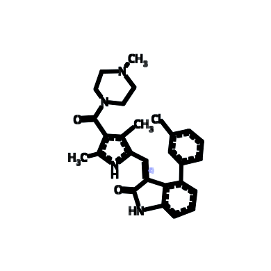 Cc1[nH]c(/C=C2\C(=O)Nc3cccc(-c4cccc(Cl)c4)c32)c(C)c1C(=O)N1CCN(C)CC1